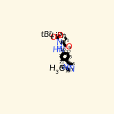 CC(C)C[C@H](NC(=O)OC(C)(C)C)C(=O)Nc1ccc(-c2cncn2C)cc1